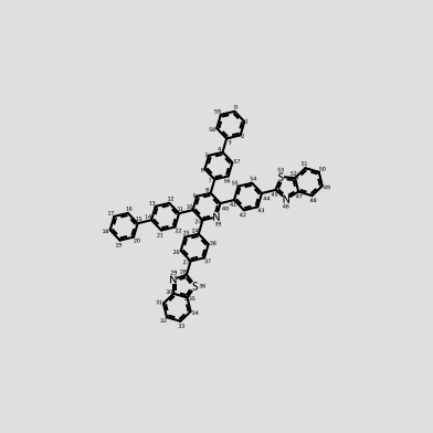 c1ccc(-c2ccc(-c3cc(-c4ccc(-c5ccccc5)cc4)c(-c4ccc(-c5nc6ccccc6s5)cc4)nc3-c3ccc(-c4nc5ccccc5s4)cc3)cc2)cc1